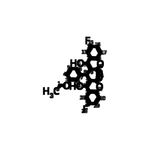 CCOc1cccc(C(c2c(O)c3cc(F)ccc3oc2=O)c2c(O)c3cc(F)ccc3oc2=O)c1